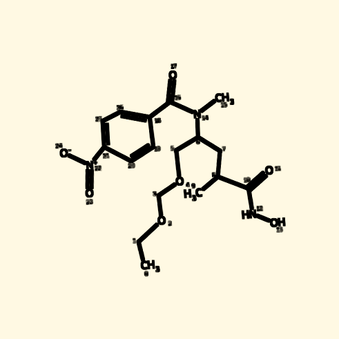 CCOCOCC(CC(C)C(=O)NO)N(C)C(=O)c1ccc([N+](=O)[O-])cc1